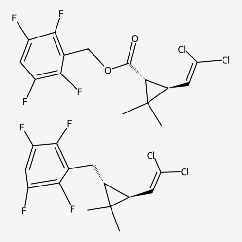 CC1(C)[C@H](C=C(Cl)Cl)[C@H]1C(=O)OCc1c(F)c(F)cc(F)c1F.CC1(C)[C@H](C=C(Cl)Cl)[C@H]1Cc1c(F)c(F)cc(F)c1F